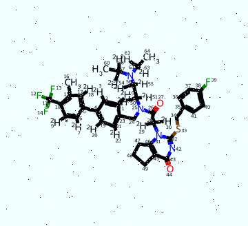 [2H]c1c([2H])c(-c2c([2H])c([2H])c(C(F)(F)F)c(C)c2[2H])c([2H])c([2H])c1CN(C(=O)C([2H])([2H])n1c(SCc2ccc(F)cc2)nc(=O)c2c1CCC2)C([2H])([2H])C([2H])([2H])N(C([2H])([2H])C)C([2H])([2H])C